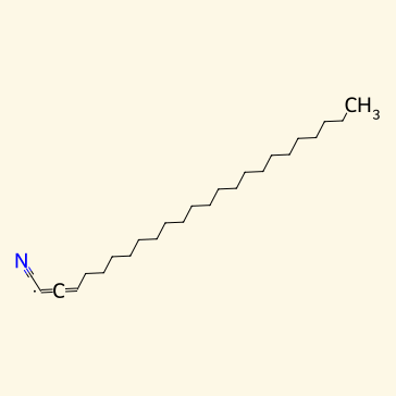 CCCCCCCCCCCCCCCCCCCCCC=C=[C]C#N